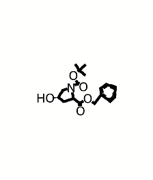 CC(C)(C)OC(=O)N1C[C@@H](O)CC1C(=O)OCc1ccccc1